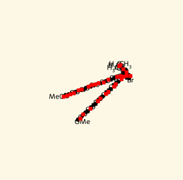 COCCOCCOCCOCCOCCOCCOCCOCCOCCOCCOCCOCCCC1(CCCOCCOCCOCCOCCOCCOCCOCCOCCOCCOCCOCCOC)c2cc(Br)ccc2-c2ccc(B3OC(C)(C)C(C)(C)O3)cc21